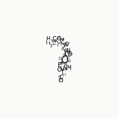 CC1(C)CC([S+]([O-])Cc2noc3cc(NC(=O)CCCl)c(F)cc23)=NO1